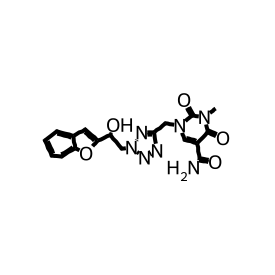 Cn1c(=O)c(C(N)=O)cn(Cc2nnn(C[C@H](O)c3cc4ccccc4o3)n2)c1=O